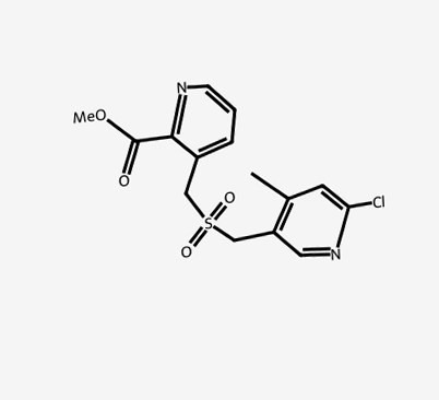 COC(=O)c1ncccc1CS(=O)(=O)Cc1cnc(Cl)cc1C